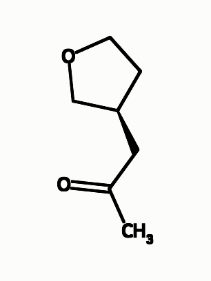 CC(=O)C[C@@H]1CCOC1